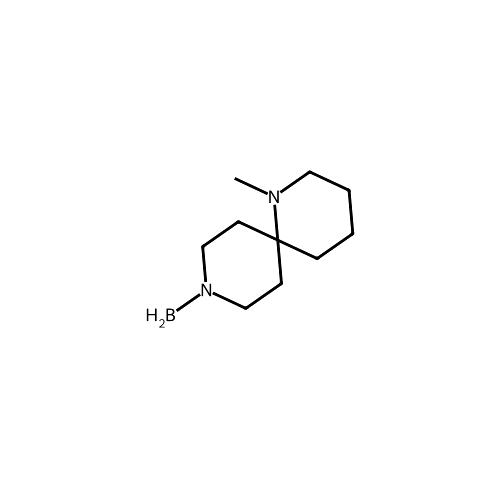 BN1CCC2(CCCCN2C)CC1